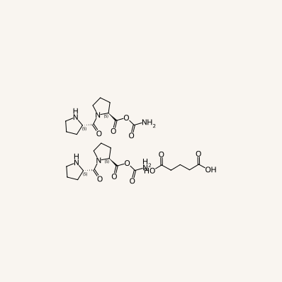 NC(=O)OC(=O)[C@@H]1CCCN1C(=O)[C@@H]1CCCN1.NC(=O)OC(=O)[C@@H]1CCCN1C(=O)[C@@H]1CCCN1.O=C(O)CCCC(=O)O